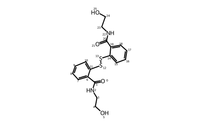 O=C(NCCO)c1ccccc1SSc1ccccc1C(=O)NCCO